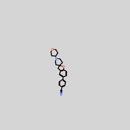 N#Cc1ccc(-c2ccc3c(c2)CC2(CCN(C4CCOCC4)CC2)O3)cc1